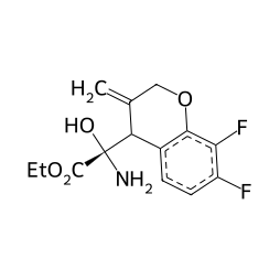 C=C1COc2c(ccc(F)c2F)C1[C@](N)(O)C(=O)OCC